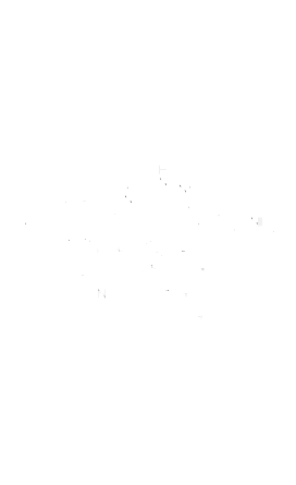 NCCCc1n[nH]c2nc(-c3ccc(F)cc3)c(-c3ccncc3)c(-c3ccc(F)cc3)c12